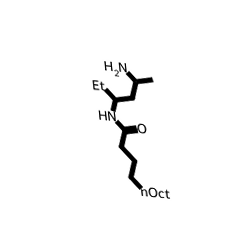 CCCCCCCCCCCC(=O)NC(CC)CC(C)N